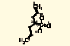 C=CC[N](CC=C)[Ge]([Cl])([Cl])[Cl]